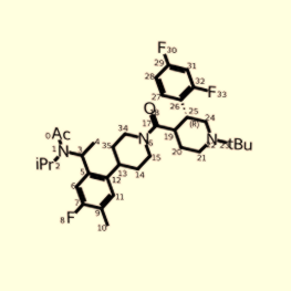 CC(=O)N(C(C)C)C(C)c1cc(F)c(C)cc1C1CCN(C(=O)C2CCN(C(C)(C)C)C[C@H]2c2ccc(F)cc2F)CC1